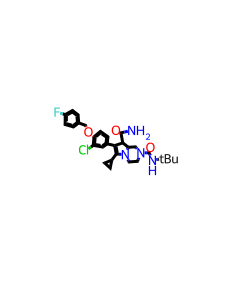 CC(C)(C)NC(=O)N1CCN2C(C3CC3)=C(c3ccc(OCc4ccc(F)cc4)c(Cl)c3)C(C(N)=O)C2C1